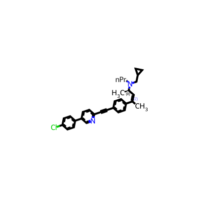 CCCN(CC1CC1)[C@H](C)/C=C(/C)c1ccc(C#Cc2ccc(-c3ccc(Cl)cc3)cn2)cc1